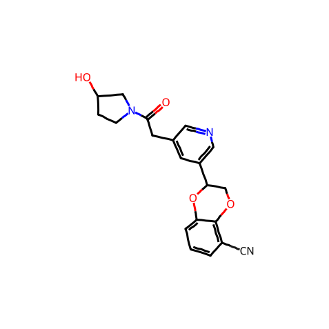 N#Cc1cccc2c1OCC(c1cncc(CC(=O)N3CCC(O)C3)c1)O2